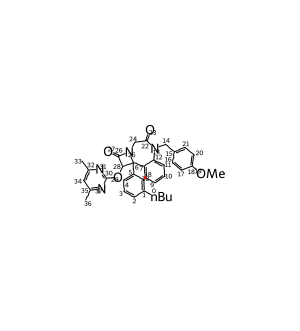 CCCCc1cccc(C23c4ccccc4N(Cc4ccc(OC)cc4)C(=O)CN2C(=O)C3Oc2nc(C)cc(C)n2)c1